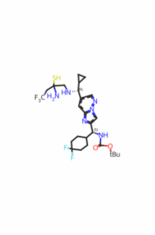 CC(C)(C)OC(=O)N[C@H](c1cn2ncc([C@H](NCC(N)(S)CC(F)(F)F)C3CC3)cc2n1)C1CCC(F)(F)CC1